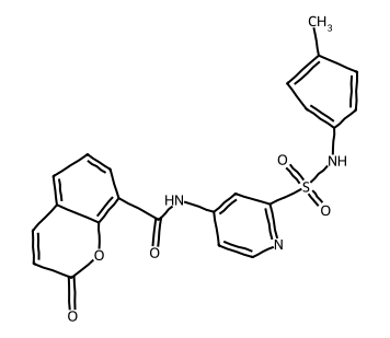 Cc1ccc(NS(=O)(=O)c2cc(NC(=O)c3cccc4ccc(=O)oc34)ccn2)cc1